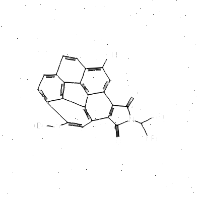 CCCC(CCC)n1c(=O)c2c3cc(C)c4ccc5ccc6c(OC(C)(C)C)cc(c2c1=O)c1c6c5c4c31